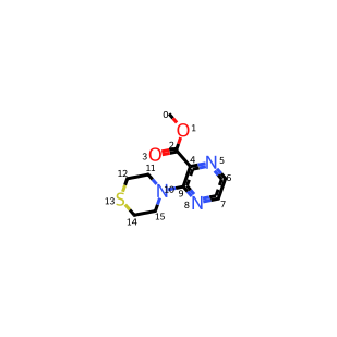 COC(=O)c1nccnc1N1CCSCC1